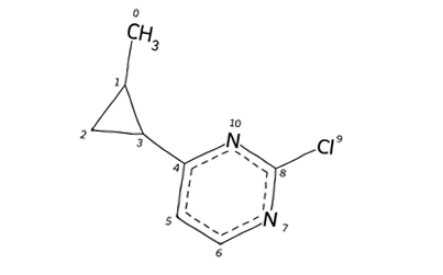 CC1CC1c1ccnc(Cl)n1